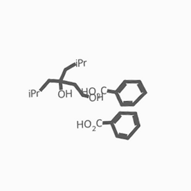 CC(C)CC(O)(CCO)CC(C)C.O=C(O)c1ccccc1.O=C(O)c1ccccc1